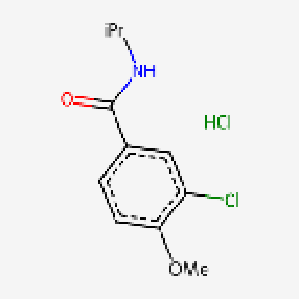 COc1ccc(C(=O)NC(C)C)cc1Cl.Cl